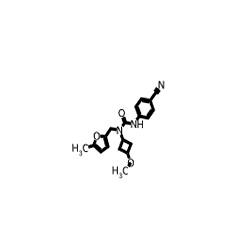 COC1CC(N(Cc2ccc(C)o2)C(=O)Nc2ccc(C#N)cc2)C1